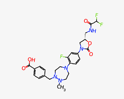 CN1CCN(c2ccc(N3C[C@H](CNC(=O)C(F)F)OC3=O)cc2F)CCN1Cc1ccc(C(=O)O)cc1